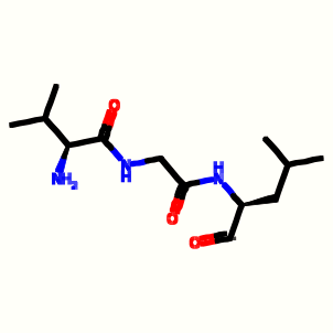 CC(C)C[C@@H]([C]=O)NC(=O)CNC(=O)[C@@H](N)C(C)C